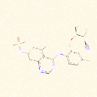 Cc1cc(N=S(C)(C)=O)cc2ncnc(Nc3ccc(F)cc3O[C@H]3COC[C@H]3C#N)c12